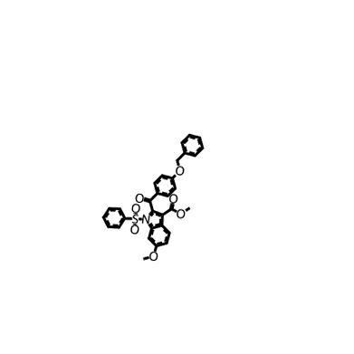 COC(=O)c1c(C(=O)c2ccc(OCc3ccccc3)cc2)n(S(=O)(=O)c2ccccc2)c2cc(OC)ccc12